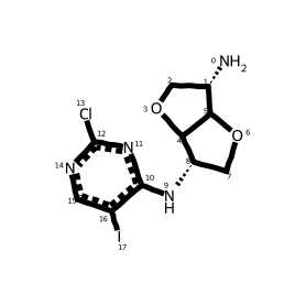 N[C@H]1COC2C1OC[C@@H]2Nc1nc(Cl)ncc1I